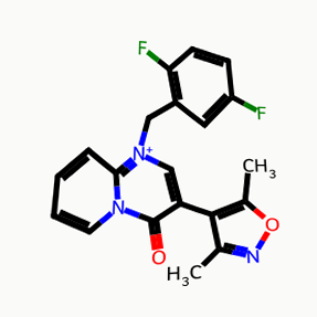 Cc1noc(C)c1-c1c[n+](Cc2cc(F)ccc2F)c2ccccn2c1=O